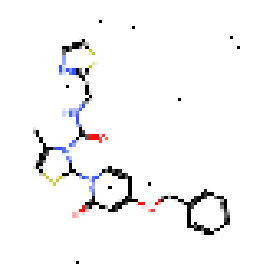 CC1=CSC(n2ccc(OCc3ccccc3)cc2=O)N1C(=O)NCc1nccs1